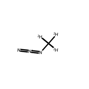 [2H]C([2H])([2H])N=[N+]=[N-]